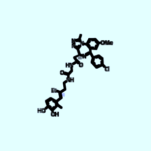 CC/C(=C\c1ccc(O)c(O)c1C)CCNC(=O)CNC(=O)C[C@@H]1N=C(c2ccc(Cl)cc2)c2cc(OC)ccc2-n2c(C)nnc21